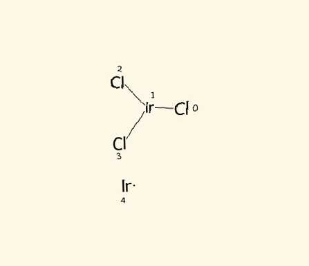 [Cl][Ir]([Cl])[Cl].[Ir]